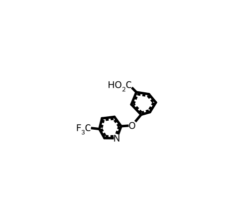 O=C(O)c1cccc(Oc2ccc(C(F)(F)F)cn2)c1